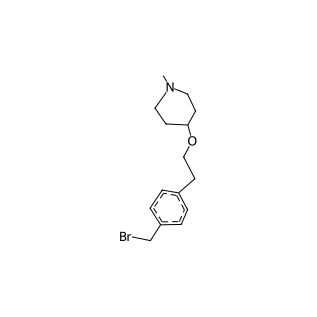 CN1CCC(OCCc2ccc(CBr)cc2)CC1